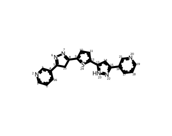 c1cncc(C2=NN=C(c3ccc(-c4cc(-c5cccnc5)n[nH]4)s3)C2)c1